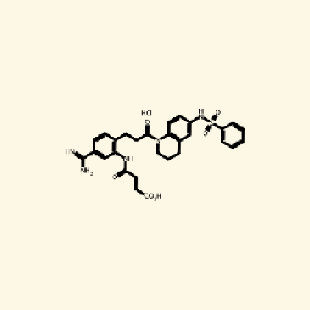 Cl.N=C(N)c1ccc(CCC(=O)N2CCCc3cc(NS(=O)(=O)c4ccccc4)ccc32)c(NC(=O)CCC(=O)O)c1